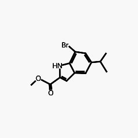 COC(=O)c1cc2cc(C(C)C)cc(Br)c2[nH]1